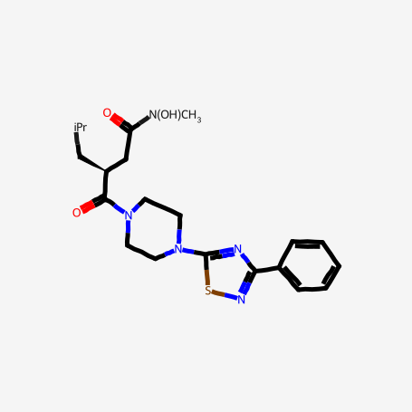 CC(C)C[C@@H](CC(=O)N(C)O)C(=O)N1CCN(c2nc(-c3ccccc3)ns2)CC1